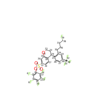 O=S(=O)(Oc1c(F)c(F)c(F)c(F)c1F)c1ccc2c(c1)OCC[C@H]2c1ccc(C(F)(F)F)cc1CCCCF